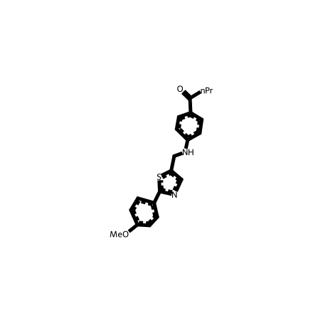 CCCC(=O)c1ccc(NCc2cnc(-c3ccc(OC)cc3)s2)cc1